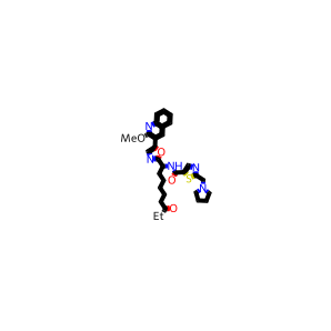 CCC(=O)CCCCCC(NC(=O)c1cnc(CN2CCCC2)s1)c1ncc(-c2cc3ccccc3nc2OC)o1